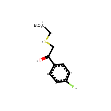 CCOC(=O)CSCC(=O)c1ccc(F)cc1